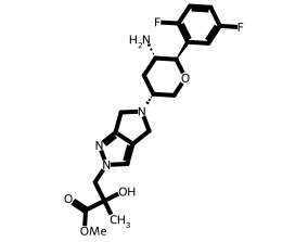 COC(=O)C(C)(O)Cn1cc2c(n1)CN([C@H]1CO[C@H](c3cc(F)ccc3F)[C@@H](N)C1)C2